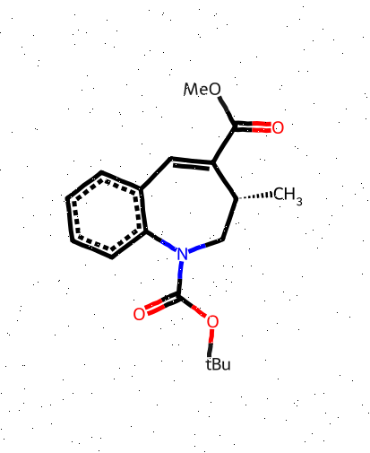 COC(=O)C1=Cc2ccccc2N(C(=O)OC(C)(C)C)C[C@H]1C